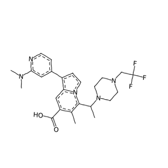 Cc1c(C(=O)O)cc2c(-c3ccnc(N(C)C)c3)ccn2c1C(C)N1CCN(CC(F)(F)F)CC1